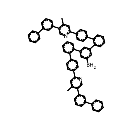 Bc1cc(-c2ccccc2-c2ccc(-c3cc(C)c(-c4cccc(-c5ccccc5)c4)cn3)cc2)cc(-c2ccccc2-c2ccc(-c3cc(C)c(-c4cccc(-c5ccccc5)c4)cn3)cc2)c1